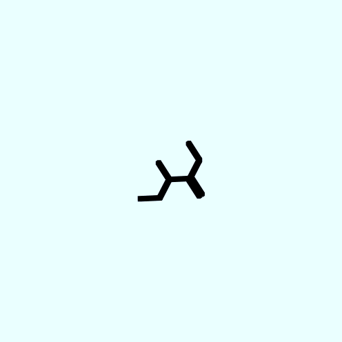 C=C(CC)C(C)CC